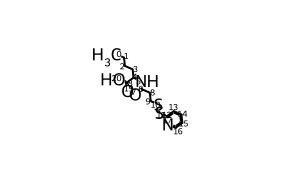 CCCCC(NC(=O)CCSSc1ccccn1)C(=O)O